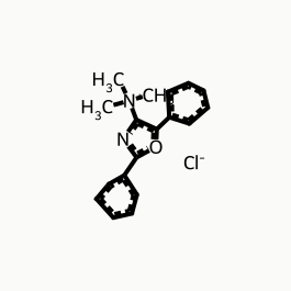 C[N+](C)(C)c1nc(-c2ccccc2)oc1-c1ccccc1.[Cl-]